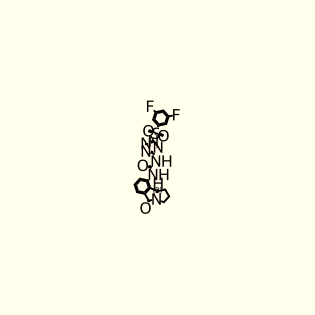 O=C(Nc1nnn(S(=O)(=O)c2cc(F)cc(F)c2)n1)Nc1cccc2c1[C@H]1CCCN1C2=O